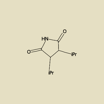 CC(C)C1C(=O)NC(=O)C1C(C)C